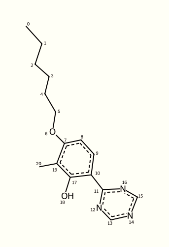 CCCCCCOc1ccc(-c2ncncn2)c(O)c1C